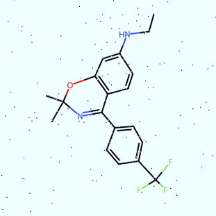 CCNc1ccc2c(c1)OC(C)(C)N=C2c1ccc(C(F)(F)F)cc1